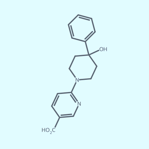 O=C(O)c1ccc(N2CCC(O)(c3ccccc3)CC2)nc1